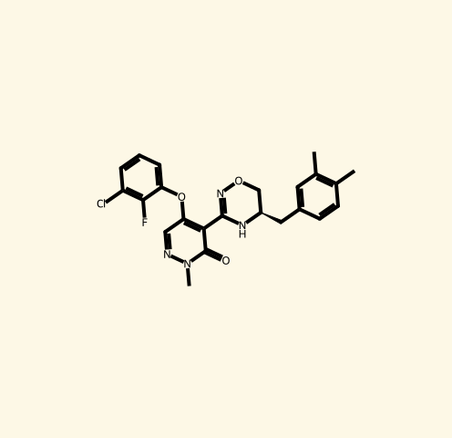 Cc1ccc(C[C@@H]2CON=C(c3c(Oc4cccc(Cl)c4F)cnn(C)c3=O)N2)cc1C